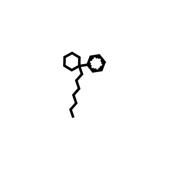 CCCCCCCC1(c2cc[c]cc2)CCCCC1